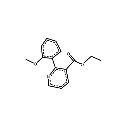 CCOC(=O)c1cccnc1-c1ccccc1OC